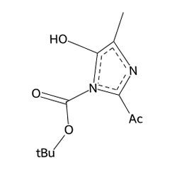 CC(=O)c1nc(C)c(O)n1C(=O)OC(C)(C)C